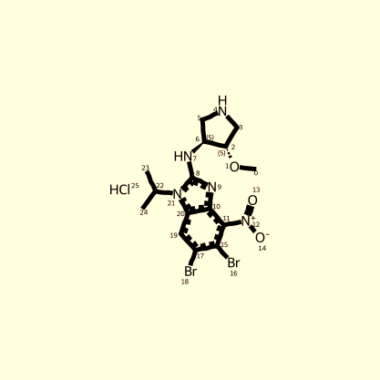 CO[C@H]1CNC[C@@H]1Nc1nc2c([N+](=O)[O-])c(Br)c(Br)cc2n1C(C)C.Cl